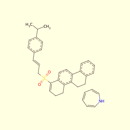 C1=CC=CNC=C1.CC(C)c1ccc(C=CCS(=O)(=O)C2=CCCc3c2ccc2c3CCc3ccccc3-2)cc1